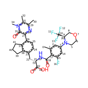 Cc1cc(N2CCOC[C@@H]2C(F)(F)F)cc(F)c1C(=O)N[C@@H](Cc1ccc(-c2nc(C)c(C)n(C)c2=O)c2c1CCC2)C(=O)O